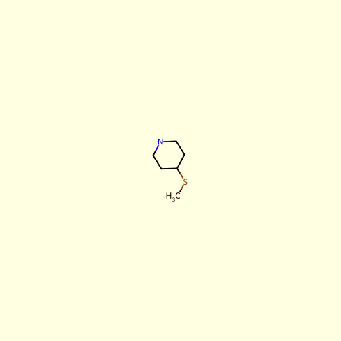 CSC1CC[N]CC1